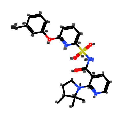 CC1CCN(c2ncccc2C(=O)NS(=O)(=O)c2cccc(Oc3cccc(C(C)(C)C)c3)n2)C1(C)C